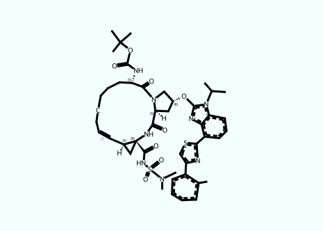 Cc1ccccc1-c1csc(-c2cccc3c2nc(O[C@@H]2C[C@H]4C(=O)N[C@]5(C(=O)NS(=O)(=O)N(C)C)C[C@H]5/C=C\CCCCC[C@H](NC(=O)OC(C)(C)C)C(=O)N4C2)n3C(C)C)n1